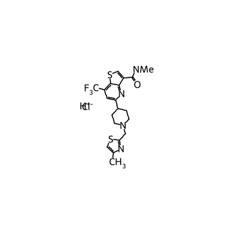 CNC(=O)c1csc2c(C(F)(F)F)cc(C3CCN(Cc4nc(C)cs4)CC3)nc12.[Cl-].[H+]